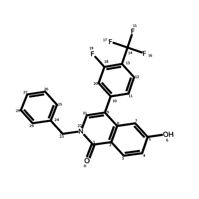 O=c1c2ccc(O)cc2c(-c2ccc(C(F)(F)F)c(F)c2)cn1[C]c1ccccc1